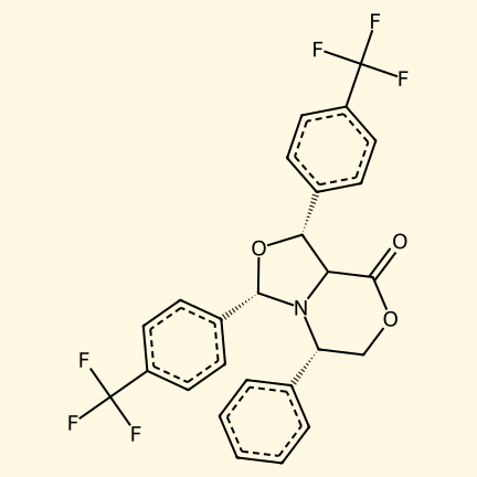 O=C1OC[C@H](c2ccccc2)N2C1[C@@H](c1ccc(C(F)(F)F)cc1)O[C@H]2c1ccc(C(F)(F)F)cc1